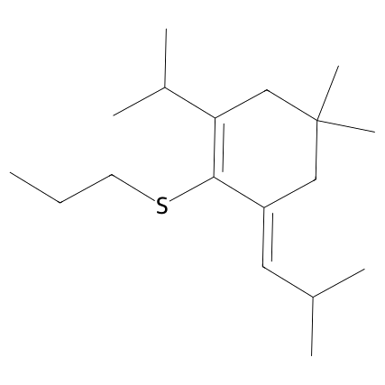 CCCSC1=C(C(C)C)CC(C)(C)C/C1=C\C(C)C